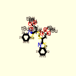 CC(C)(C)O[Si](CC(SSC(C[Si](OC(C)(C)C)(OC(C)(C)C)OC(C)(C)C)c1nc2ccccc2s1)c1nc2ccccc2s1)(OC(C)(C)C)OC(C)(C)C